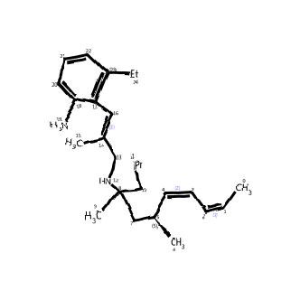 C/C=C\C=C/[C@@H](C)CC(C)(CC(C)C)NC/C(C)=C/c1c(N)cccc1CC